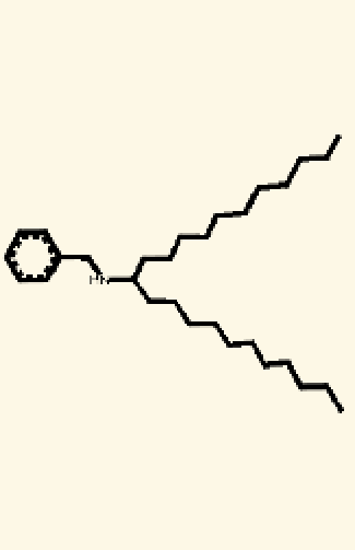 CCCCCCCCCCCC(CCCCCCCCCCC)NCc1ccccc1